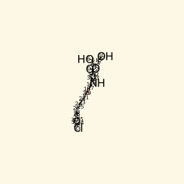 O=C(OC(CCO)CCCO)c1ccc(NCCCCCCCCCCCC#Cc2ccc(Cl)cc2)cc1